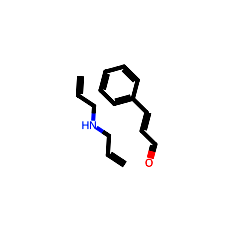 C=CCNCC=C.O=CC=Cc1ccccc1